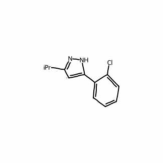 CC(C)c1[c]c(-c2ccccc2Cl)[nH]n1